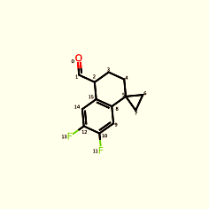 O=CC1CCC2(CC2)c2cc(F)c(F)cc21